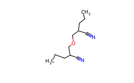 CCCC(C#N)COCC(C#N)CCC